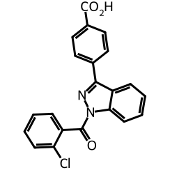 O=C(O)c1ccc(-c2nn(C(=O)c3ccccc3Cl)c3ccccc23)cc1